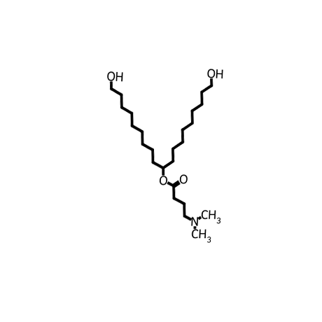 CN(C)CCCC(=O)OC(CCCCCCCCCO)CCCCCCCCCO